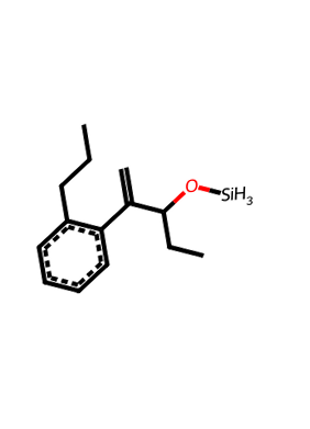 C=C(c1ccccc1CCC)C(CC)O[SiH3]